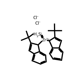 CC(C)(C)C1=Cc2ccccc2[CH]1[Zr+2](=[SiH2])[CH]1C(C(C)(C)C)=Cc2ccccc21.[Cl-].[Cl-]